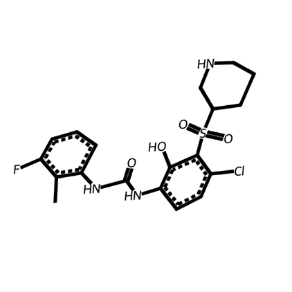 Cc1c(F)cccc1NC(=O)Nc1ccc(Cl)c(S(=O)(=O)C2CCCNC2)c1O